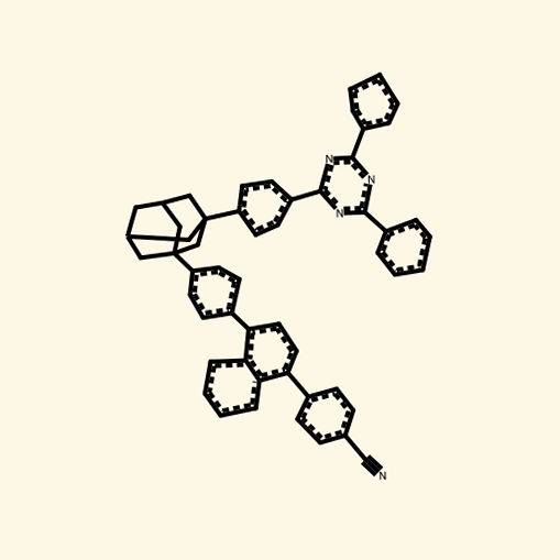 N#Cc1ccc(-c2ccc(-c3ccc(C45CC6CC(CC(c7ccc(-c8nc(-c9ccccc9)nc(-c9ccccc9)n8)cc7)(C6)C4)C5)cc3)c3ccccc23)cc1